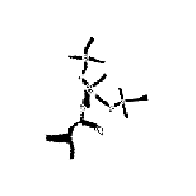 C=C(C)C(=O)O[Si](C)(O[Si](C)(C)C)O[Si](C)(C)C